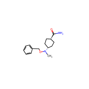 CN(OCc1ccccc1)[C@H]1CC[C@H](C(N)=O)CC1